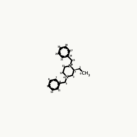 CC[C@H]1CN(Cc2ccccc2)CCN1Cc1ccccc1